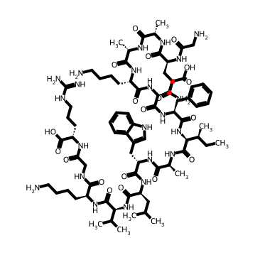 CC[C@H](C)[C@H](NC(=O)[C@H](Cc1ccccc1)NC(=O)[C@H](CCC(=O)O)NC(=O)[C@H](CCCCN)NC(=O)[C@H](C)NC(=O)[C@H](C)NC(=O)[C@H](CCC(N)=O)NC(=O)CN)C(=O)N[C@@H](C)C(=O)N[C@@H](Cc1c[nH]c2ccccc12)C(=O)N[C@@H](CC(C)C)C(=O)N[C@H](C(=O)N[C@@H](CCCCN)C(=O)NCC(=O)N[C@@H](CCCNC(=N)N)C(=O)O)C(C)C